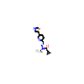 CN(NCc1ccc(-c2cncs2)cn1)C(=O)C1CC1